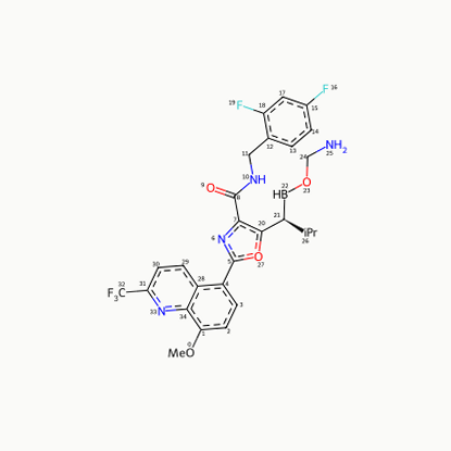 COc1ccc(-c2nc(C(=O)NCc3ccc(F)cc3F)c([C@@H](BOCN)C(C)C)o2)c2ccc(C(F)(F)F)nc12